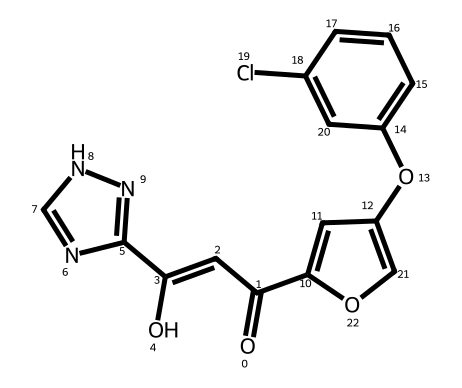 O=C(C=C(O)c1nc[nH]n1)c1cc(Oc2cccc(Cl)c2)co1